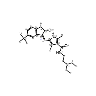 CCN(CC)CCNC(=O)c1c(C)[nH]c(/C=C2\C(=O)Nc3ccc(C(C)(C)C)cc32)c1C